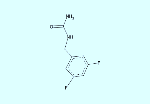 NC(=O)NCc1cc(F)cc(F)c1